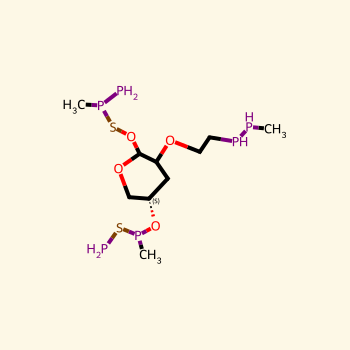 CPPCCOC1C[C@H](OP(C)SP)COC1OSP(C)P